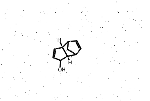 OC1C=C[C@@H]2C3C=CC(C3)[C@H]12